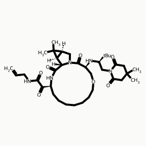 C=CCNC(=O)C(=O)[C@@H]1CCCCCCCOC[C@H](N[C@H](CN2C(=O)CC(C)(C)CC2=O)C(C)(C)C)C(=O)N2C[C@H]3[C@@H]([C@H]2C(=O)N1)C3(C)C